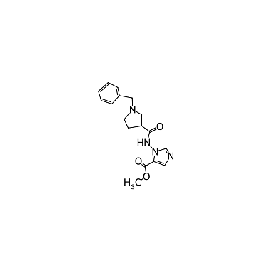 COC(=O)c1cncn1NC(=O)C1CCN(Cc2ccccc2)C1